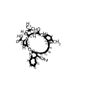 CC1CC[C@H]2OC(=O)N[C@@H](C(C)(C)C)C(=O)N3C[C@@H](C[C@H]3C(=O)O)Oc3nc4ccccc4c(O)c3CCCCC[C@H]12